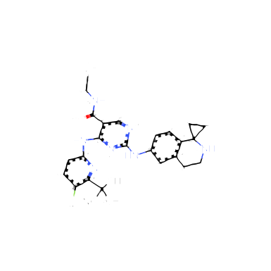 CC(C)(C#N)c1nc(Nc2nc(Nc3ccc4c(c3)CCNC43CC3)ncc2C(=O)NCC(F)(F)F)ccc1F